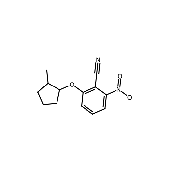 CC1CCCC1Oc1cccc([N+](=O)[O-])c1C#N